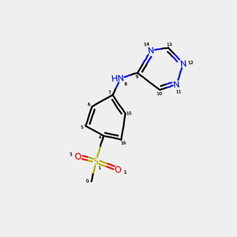 CS(=O)(=O)c1ccc(Nc2cnncn2)cc1